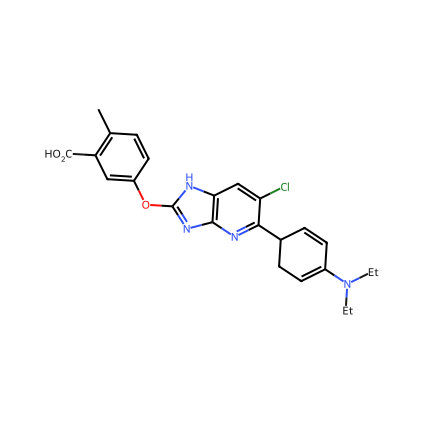 CCN(CC)C1=CCC(c2nc3nc(Oc4ccc(C)c(C(=O)O)c4)[nH]c3cc2Cl)C=C1